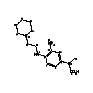 CN(C(=O)O)c1ccc(NCCN2CCCCC2)c(N)c1